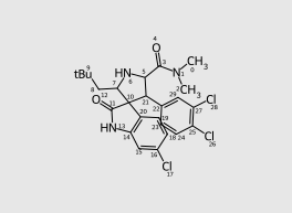 CN(C)C(=O)C1NC(CC(C)(C)C)C2(C(=O)Nc3cc(Cl)ccc32)C1c1ccc(Cl)c(Cl)c1